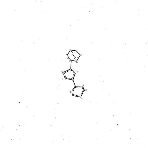 c1cnc(-c2nnc(N3CCN4CCC3CC4)o2)cn1